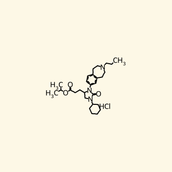 CCCN1CCc2ccc(N3C(=O)N(C4CCCCC4)CC3CCC(=O)OC(C)C)cc2CC1.Cl